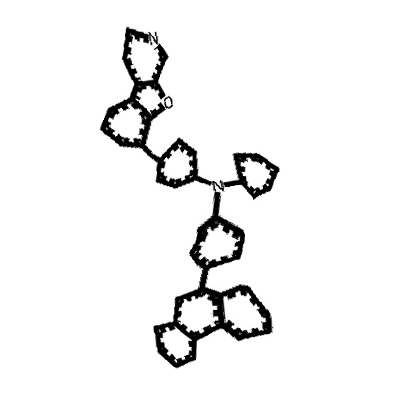 c1ccc(N(c2ccc(-c3cc4ccccc4c4ccccc34)cc2)c2ccc(-c3cccc4c3oc3cnccc34)cc2)cc1